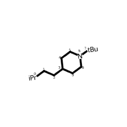 CC(C)CCC1CCN(C(C)(C)C)CC1